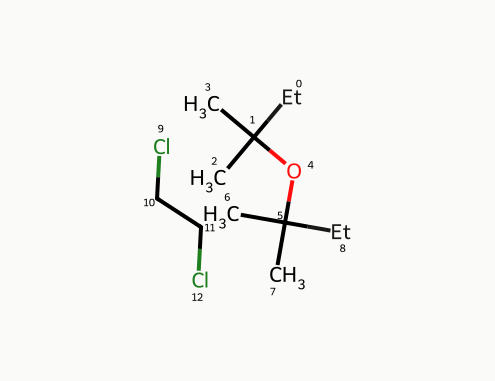 CCC(C)(C)OC(C)(C)CC.ClCCCl